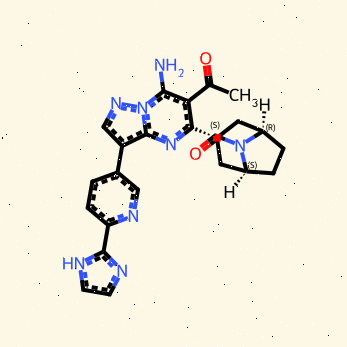 CC(=O)c1c([C@@H]2C[C@H]3CC[C@@H](C2)N3C=O)nc2c(-c3ccc(-c4ncc[nH]4)nc3)cnn2c1N